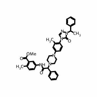 COC(=O)c1cc(NC(=O)C(c2ccccc2)N2CCN(c3ccc(-n4cnn(C(C)c5ccccc5)c4=O)c(C)c3)CC2)ccc1C